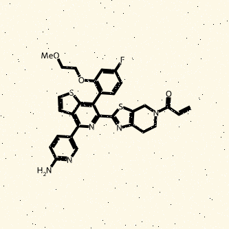 C=CC(=O)N1CCc2nc(-c3nc(-c4ccc(N)nc4)c4ccsc4c3-c3ccc(F)cc3OCCOC)sc2C1